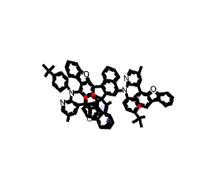 C/C=C\C=C(/C)C1(c2ccccc2)c2cc(N(c3ccc(C(C)(C)C)cc3)c3ncc(C)cc3-c3cccc4c3oc3ccccc34)c3ccccc3c2-c2c1cc(N(c1ccc(C(C)(C)C)cc1)c1ncc(C)cc1-c1cccc3c1oc1ccccc13)c1c2oc2ccccc21